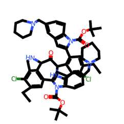 CCc1cc(-c2cc3cc(CN4CCCCC4)ccc3n2C(=O)OC(C)(C)C)c2c(c1Cl)CNC2C(=O)C1NCc2c(Cl)c(CC)cc(-c3cc4cc(CN5CCCCC5)ccc4n3C(=O)OC(C)(C)C)c21